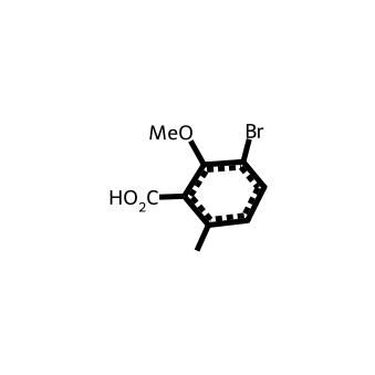 COc1c(Br)ccc(C)c1C(=O)O